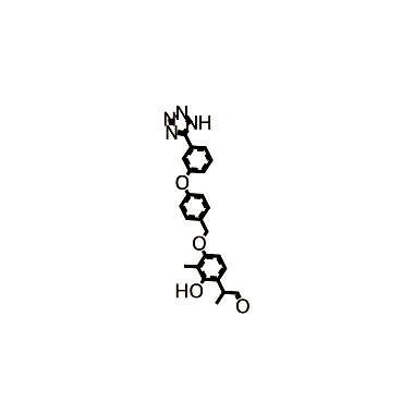 Cc1c(OCc2ccc(Oc3cccc(-c4nnn[nH]4)c3)cc2)ccc(C(C)C=O)c1O